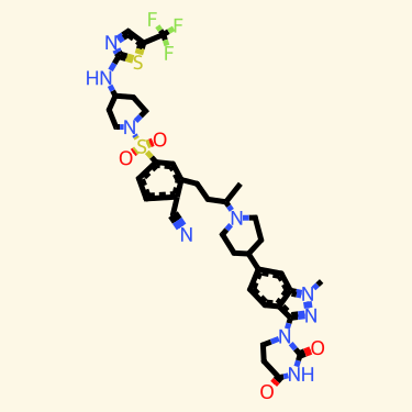 CC(CCc1cc(S(=O)(=O)N2CCC(Nc3ncc(C(F)(F)F)s3)CC2)ccc1C#N)N1CCC(c2ccc3c(N4CCC(=O)NC4=O)nn(C)c3c2)CC1